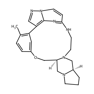 Cc1ccc2cc1-c1cnn3ccc(nc13)NCCN1C[C@H]3CCCN3C[C@H]1CO2